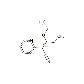 CCO/C(CC)=C(/C#N)c1ccccn1